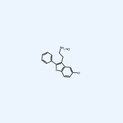 Cl.NCCc1c(-c2ccccc2)sc2ccc(Cl)cc12